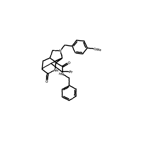 COc1ccc(CN2CC3CC4C(=O)NC3(C(=O)NCc3ccccc3)C2C4CC(C)C)cc1